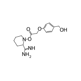 N=C(N)C1CCCCN1OC(=O)COc1ccc(CO)cc1